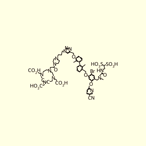 Cc1c(COc2cc(OCc3ccc(C#N)cn3)c(CN(C)CC(=O)NCC(S(=O)(=O)O)S(=O)(=O)O)cc2Br)cccc1-c1cccc(OCc2cn(CCCN3CCN(C(=O)CN4CCN(CC(=O)O)CCN(CC(=O)O)CCN(CC(=O)O)CC4)CC3)nn2)c1C